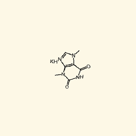 Cn1cnc2c1c(=O)[nH]c(=O)n2C.[KH]